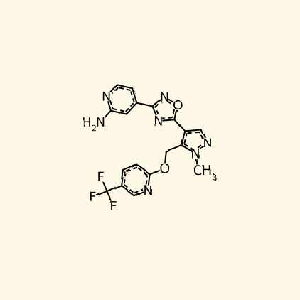 Cn1ncc(-c2nc(-c3ccnc(N)c3)no2)c1COc1ccc(C(F)(F)F)cn1